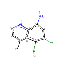 Cc1ccnc2c(N)cc(F)c(F)c12